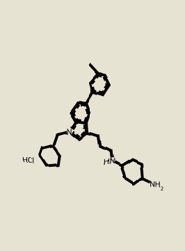 Cc1cccc(-c2ccc3c(c2)c(CCCNC2CCC(N)CC2)cn3CC2CCCCC2)c1.Cl